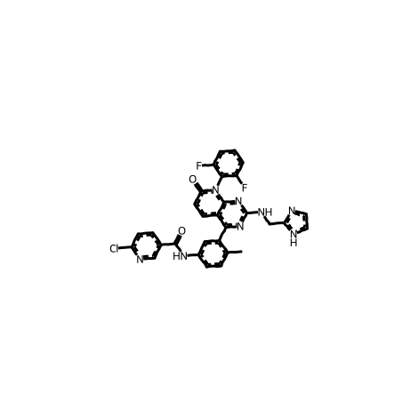 Cc1ccc(NC(=O)c2ccc(Cl)nc2)cc1-c1nc(NCc2ncc[nH]2)nc2c1ccc(=O)n2-c1c(F)cccc1F